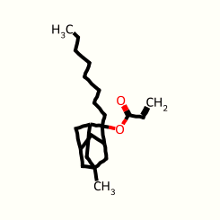 C=CC(=O)OC1(CCCCCCCC)C2CC3CC1CC(C)(C3)C2